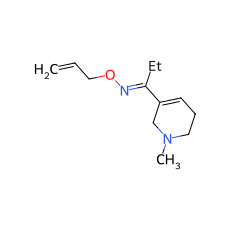 C=CCON=C(CC)C1=CCCN(C)C1